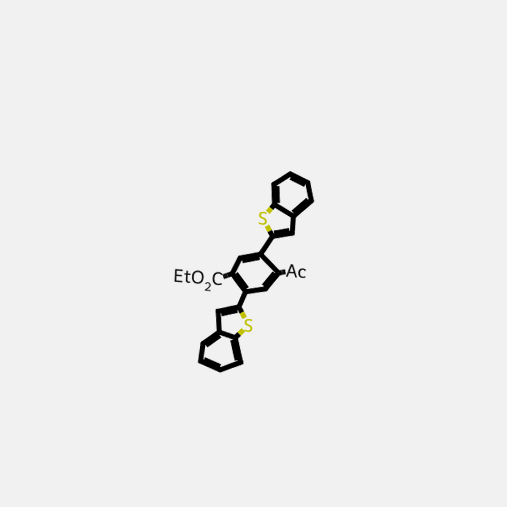 CCOC(=O)c1cc(-c2cc3ccccc3s2)c(C(C)=O)cc1-c1cc2ccccc2s1